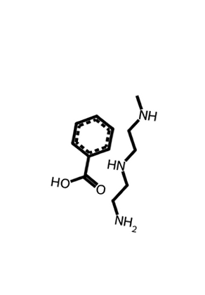 CNCCNCCN.O=C(O)c1ccccc1